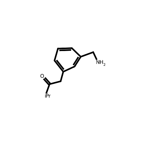 CC(C)C(=O)Cc1cccc(CN)c1